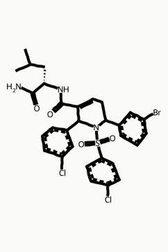 CC(C)C[C@H](NC(=O)C1=CCC(c2cccc(Br)c2)N(S(=O)(=O)c2ccc(Cl)cc2)C1c1cccc(Cl)c1)C(N)=O